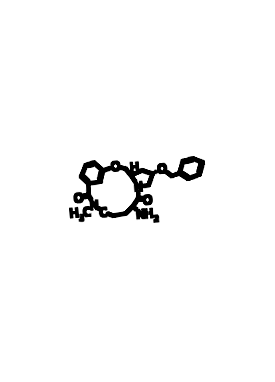 CN1CCC[C@H](N)C(=O)N2C[C@@H](OCc3ccccc3)C[C@H]2COc2cccc(c2)C1=O